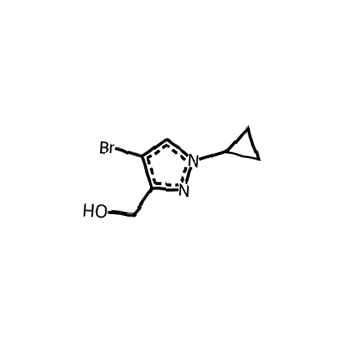 OCc1nn(C2CC2)cc1Br